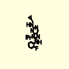 CC(C)n1c(Nc2ccccc2F)nc2cnc(NCC3CC3)nc21